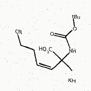 CC(C)(C)OC(=O)NC(C)(/C=C\CCC#N)C(=O)O.[KH]